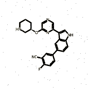 N#Cc1cc(-c2ccc3[nH]cc(-c4cncc(O[C@@H]5CCCNC5)n4)c3c2)ccc1F